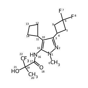 Cn1nc(C2CC(F)(F)C2)c(C2CCC2)c1NC(=O)C(C)(O)C(F)(F)F